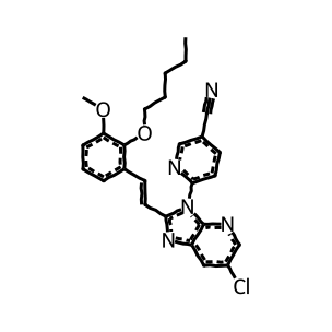 CCCCCOc1c(C=Cc2nc3cc(Cl)cnc3n2-c2ccc(C#N)cn2)cccc1OC